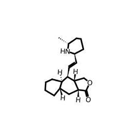 C[C@@H]1CCC[C@@H](/C=C/[C@@H]2[C@@H]3CCCC[C@H]3C[C@H]3C(=O)OC[C@@H]23)N1